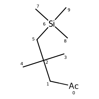 CC(=O)CC(C)(C)C[Si](C)(C)C